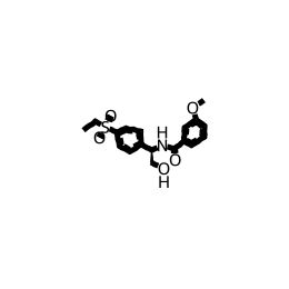 CCS(=O)(=O)c1ccc([C@H](CO)NC(=O)c2cccc(OC)c2)cc1